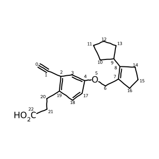 C#Cc1cc(OCC2=C(C3CCCC3)CCC2)ccc1CCC(=O)O